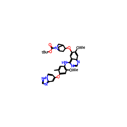 COc1cc(Oc2ccn3ncnc3c2)c(C)cc1Nc1ncnc2cc(OC)c(OC3CC4CC3CN4C(=O)OC(C)(C)C)cc12